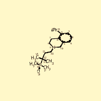 CC(C)c1cccc2c1CCN(CCC(C)(C)P(C)(C)=O)C2